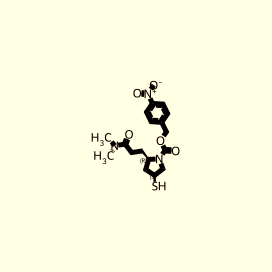 CN(C)C(=O)CC[C@@H]1C[C@H](S)CN1C(=O)OCc1ccc([N+](=O)[O-])cc1